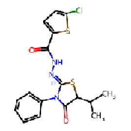 CC(C)C1S/C(=N\NC(=O)c2ccc(Cl)s2)N(c2ccccc2)C1=O